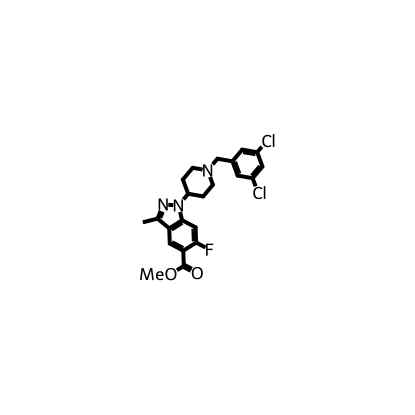 COC(=O)c1cc2c(C)nn(C3CCN(Cc4cc(Cl)cc(Cl)c4)CC3)c2cc1F